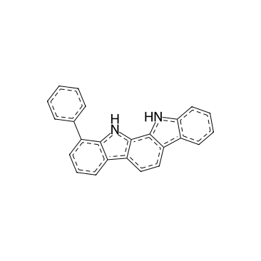 c1ccc(-c2cccc3c2[nH]c2c3ccc3c4ccccc4[nH]c32)cc1